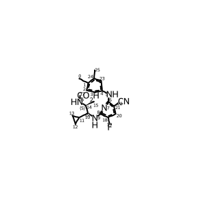 Cc1ccc(Nc2nc(N[C@@H](C3CC3)[C@H](C)NC(=O)O)c(F)cc2C#N)cc1C